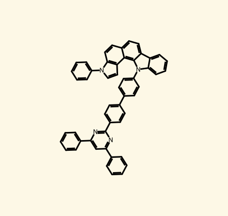 c1ccc(-c2cc(-c3ccccc3)nc(-c3ccc(-c4ccc(-n5c6ccccc6c6ccc7ccc8c(ccn8-c8ccccc8)c7c65)cc4)cc3)n2)cc1